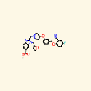 COC(=O)c1ccc2nc(CN3CCC(Oc4cccc(COc5ccc(F)cc5C#N)c4)CC3)n(C[C@@H]3CCO3)c2c1